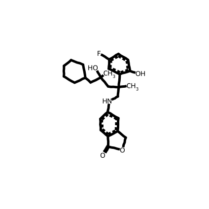 CC(O)(CC1CCCCC1)CC(C)(CNc1ccc2c(c1)COC2=O)c1cc(F)ccc1O